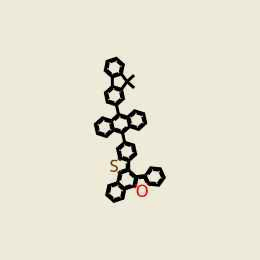 CC1(C)c2ccccc2-c2ccc(-c3c4ccccc4c(-c4ccc5c(c4)sc4c6ccccc6c6oc7ccccc7c6c54)c4ccccc34)cc21